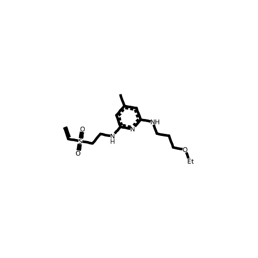 C=CS(=O)(=O)CCNc1cc(C)cc(NCCCOCC)n1